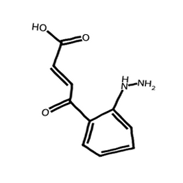 NNc1ccccc1C(=O)C=CC(=O)O